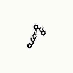 O=C(Nc1ccccc1F)c1ccccc1OCC(O)CN1CCC(Cc2ccccc2)CC1